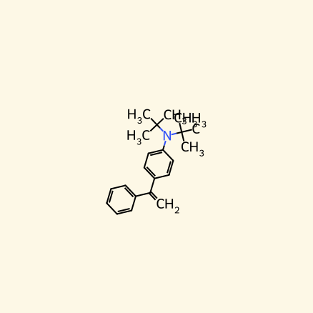 C=C(c1ccccc1)c1ccc(N(C(C)(C)C)C(C)(C)C)cc1